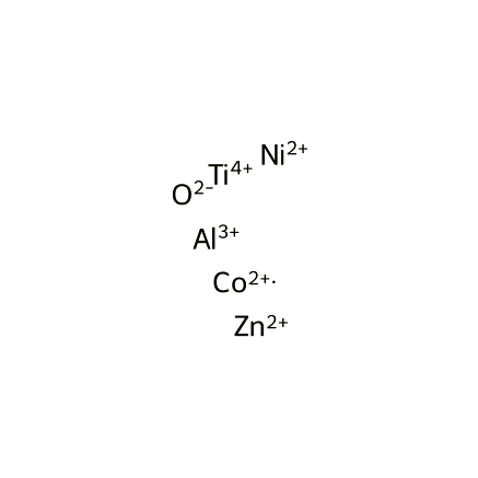 [Al+3].[Co+2].[Ni+2].[O-2].[Ti+4].[Zn+2]